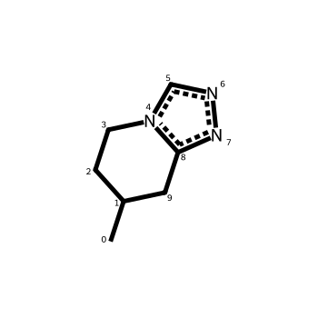 CC1CCn2cnnc2C1